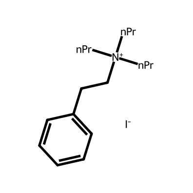 CCC[N+](CCC)(CCC)CCc1ccccc1.[I-]